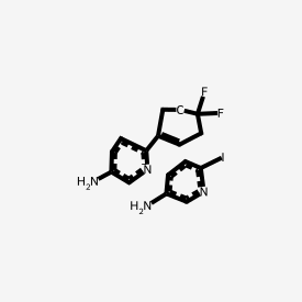 Nc1ccc(C2=CCC(F)(F)CC2)nc1.Nc1ccc(I)nc1